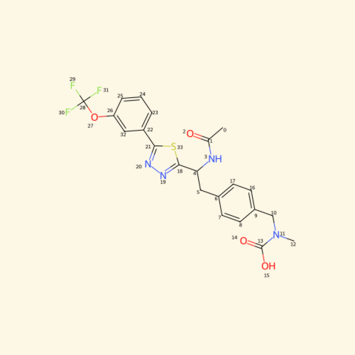 CC(=O)NC(Cc1ccc(CN(C)C(=O)O)cc1)c1nnc(-c2cccc(OC(F)(F)F)c2)s1